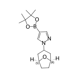 CC1(C)OB(c2cnn(C3C[C@H]4CC[C@@H](C3)O4)c2)OC1(C)C